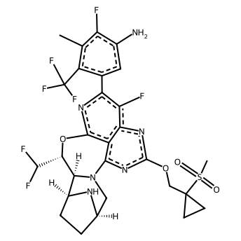 Cc1c(F)c(N)cc(-c2nc3c4c(nc(OCC5(S(C)(=O)=O)CC5)nc4c2F)N2C[C@H]4CC[C@H](N4)[C@H]2[C@H](C(F)F)O3)c1C(F)(F)F